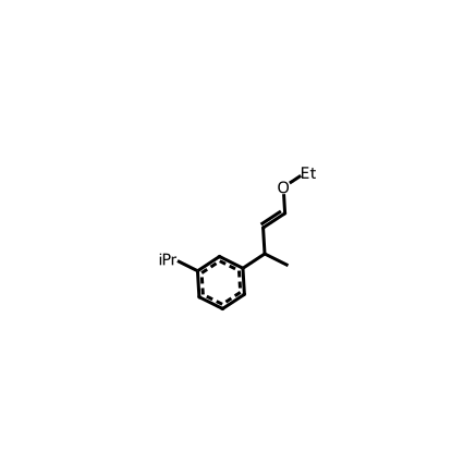 CCO/C=C/C(C)c1cccc(C(C)C)c1